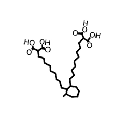 CC1CCCCC(CCCCCCCCCC(C(=O)O)C(=O)O)C1CCCCCCCCCC(C(=O)O)C(=O)O